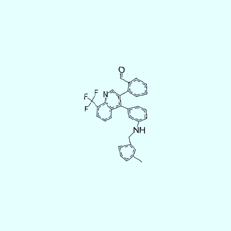 Cc1cccc(CNc2cccc(-c3c(-c4ccccc4C=O)cnc4c(C(F)(F)F)cccc34)c2)c1